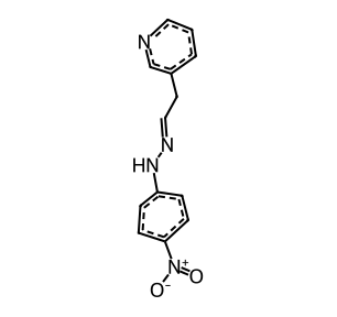 O=[N+]([O-])c1ccc(NN=CCc2cccnc2)cc1